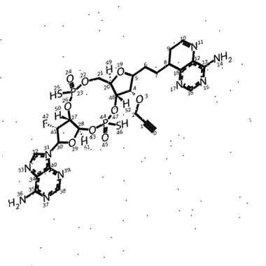 C#CCO[C@H]1C(CCC2CC=Nc3c(N)ncnc32)O[C@@H]2COP(=O)(S)O[C@@H]3[C@H](OC(n4cnc5c(N)ncnc54)[C@@H]3F)OP(=O)(S)O[C@H]21